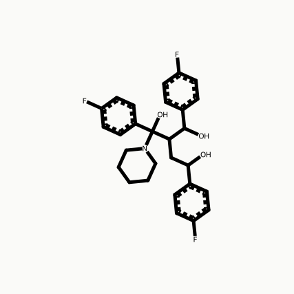 OC(CC(C(O)c1ccc(F)cc1)C(O)(c1ccc(F)cc1)N1CCCCC1)c1ccc(F)cc1